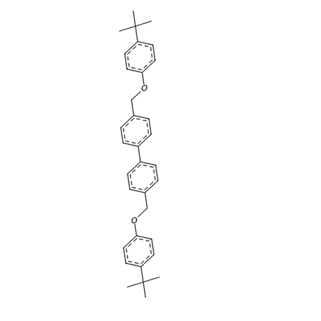 CC(C)(C)c1ccc(OCc2ccc(-c3ccc(COc4ccc(C(C)(C)C)cc4)cc3)cc2)cc1